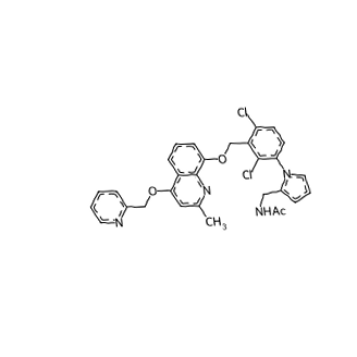 CC(=O)NCc1cccn1-c1ccc(Cl)c(COc2cccc3c(OCc4ccccn4)cc(C)nc23)c1Cl